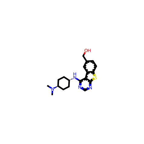 CN(C)[C@H]1CC[C@H](Nc2ncnc3sc4ccc(CO)cc4c23)CC1